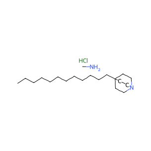 CCCCCCCCCCCCC12CCN(CC1)CC2.CN.Cl